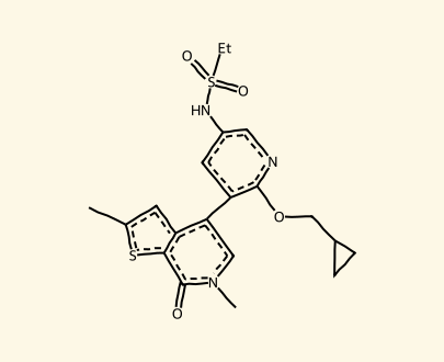 CCS(=O)(=O)Nc1cnc(OCC2CC2)c(-c2cn(C)c(=O)c3sc(C)cc23)c1